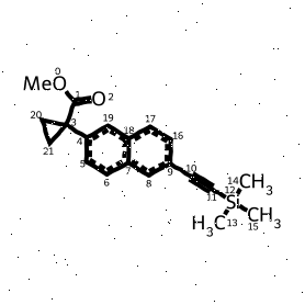 COC(=O)C1(c2ccc3cc(C#C[Si](C)(C)C)ccc3c2)CC1